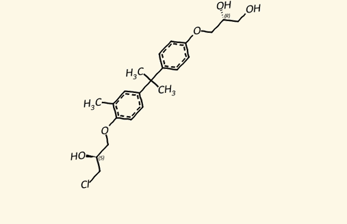 Cc1cc(C(C)(C)c2ccc(OC[C@H](O)CO)cc2)ccc1OC[C@H](O)CCl